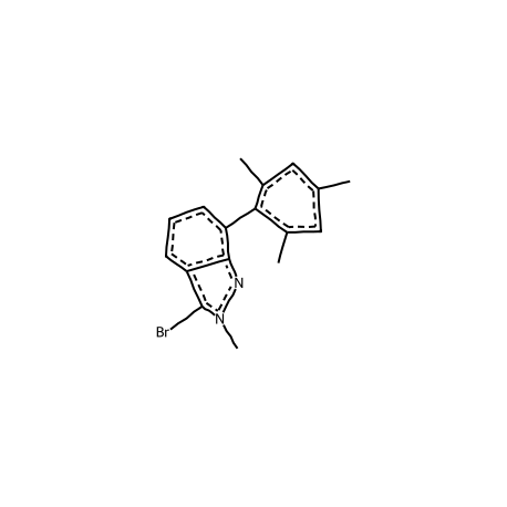 Cc1cc(C)c(-c2cccc3c(Br)n(C)nc23)c(C)c1